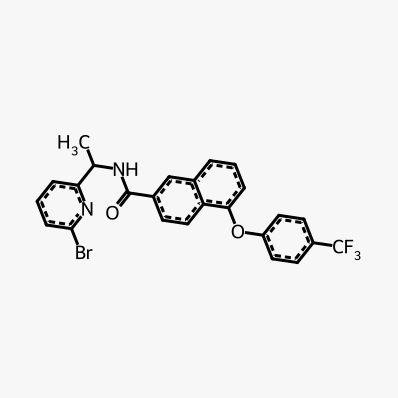 CC(NC(=O)c1ccc2c(Oc3ccc(C(F)(F)F)cc3)cccc2c1)c1cccc(Br)n1